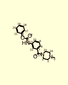 CN1CCN(C(=O)c2cccc(NC(=O)Oc3ccccc3)c2)CC1